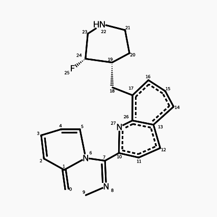 C=C1C=CC=CN1/C(=N\C)c1ccc2cccc(C[C@H]3CCNC[C@H]3F)c2n1